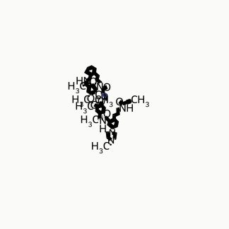 CC#CC(=O)NCCCc1ccc(N2CCN(CC)CC2)cc1C(=O)N[C@H](C)c1ccc(OC/C=C/C(=O)NCCCc2ccccc2C(=O)N[C@H](C)c2ccc(OC)c(OC)c2)c(OC)c1